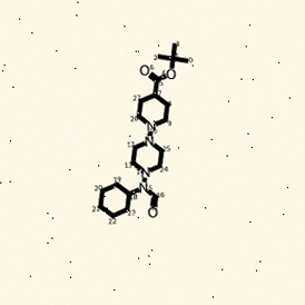 CC(C)(C)OC(=O)C1CCN(N2CCN(N(C=O)C3CCCCC3)CC2)CC1